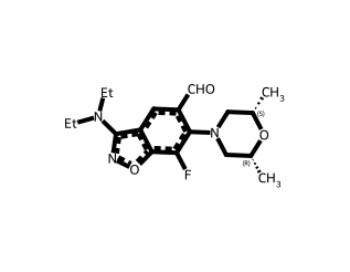 CCN(CC)c1noc2c(F)c(N3C[C@@H](C)O[C@@H](C)C3)c(C=O)cc12